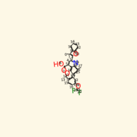 Cc1c(-c2cc(C(=O)O)c3c(O[C@@H](C)c4ccc(OC(F)F)cc4)ccc(C)c3n2)oc2ccccc12